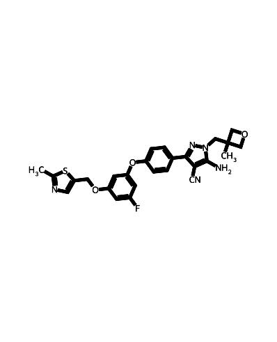 Cc1ncc(COc2cc(F)cc(Oc3ccc(-c4nn(CC5(C)COC5)c(N)c4C#N)cc3)c2)s1